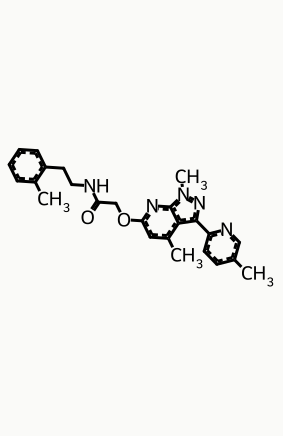 Cc1ccc(-c2nn(C)c3nc(OCC(=O)NCCc4ccccc4C)cc(C)c23)nc1